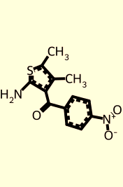 Cc1sc(N)c(C(=O)c2ccc([N+](=O)[O-])cc2)c1C